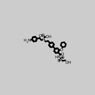 Nc1ccc([C@@H](O)CN(CCc2ccc(-c3ccc(C(=O)NS(=O)(=O)CCO)c(OC4CCCCC4)c3)cc2)C(=O)O)cc1